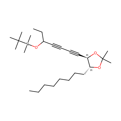 CCCCCCCC[C@H]1OC(C)(C)O[C@@H]1C#CC#CC(CC)O[Si](C)(C)C(C)(C)C